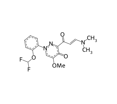 COc1cn(-c2ccccc2OC(F)F)nc(C(=O)/C=C/N(C)C)c1=O